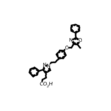 Cc1oc(-c2ccccc2)nc1COc1ccc(CCn2cc(CCC(=O)O)c(-c3ccccc3)n2)cc1